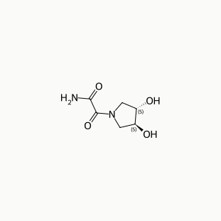 NC(=O)C(=O)N1C[C@H](O)[C@@H](O)C1